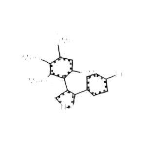 CCc1ccc(-c2sncc2-c2c(OC)cc(OC)c(OC)c2OC)cc1